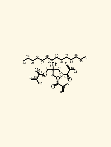 C=C(C)C(=O)OCC(CC)(COC(=O)C(=C)C)COC(=O)C(=C)C.CCCCCCCCCCCCCC